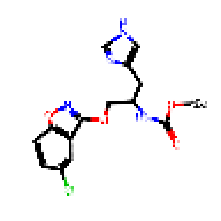 CC(C)(C)OC(=O)NC(COc1noc2ccc(Cl)cc12)Cc1c[nH]cn1